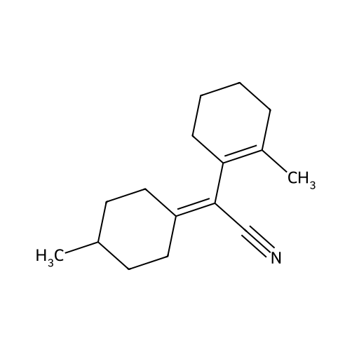 CC1=C(C(C#N)=C2CCC(C)CC2)CCCC1